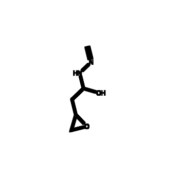 C=NNC(O)CC1CO1